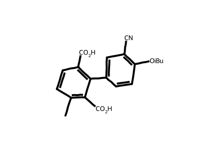 Cc1ccc(C(=O)O)c(-c2ccc(OCC(C)C)c(C#N)c2)c1C(=O)O